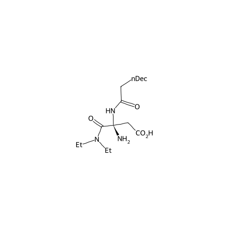 CCCCCCCCCCCC(=O)N[C@](N)(CC(=O)O)C(=O)N(CC)CC